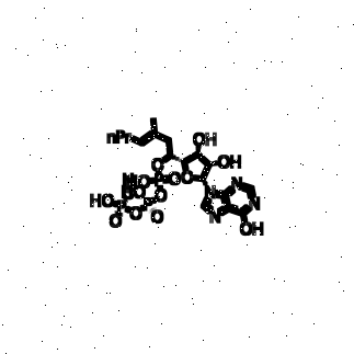 CCCC=C(C)CC(OP(=O)(O)OP(=O)(O)OP(=O)(O)O)[C@H]1O[C@@H](n2cnc3c(O)ncnc32)[C@H](O)[C@@H]1O